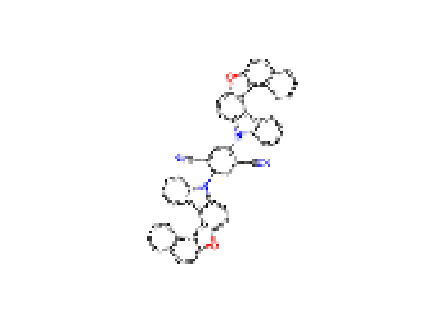 N#Cc1cc(-n2c3ccccc3c3c4c(ccc32)oc2ccc3ccccc3c24)c(C#N)cc1-n1c2ccccc2c2c3c(ccc21)oc1ccc2ccccc2c13